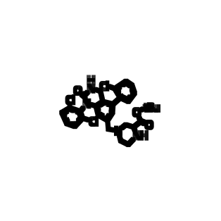 CC(C)(C)OC(=O)C1CN(Cc2cc(-c3ccccc3Cl)c3c(c2)N(c2c(Cl)cccc2Cl)C(=O)NC3)CCN1